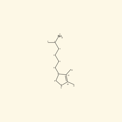 BC(C)CCCCC1CSC(C)=C1C